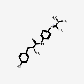 C/C(=N\c1ccc(NC(=O)[C@@H](N)Cc2ccc(O)cc2)cc1)N(C)C